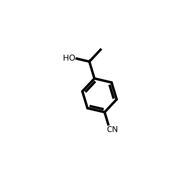 C[C](O)c1ccc(C#N)cc1